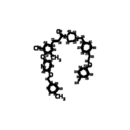 Cc1ccc(COc2ccc(Oc3c(C)cc(C=CC(=O)N4CCN(Cc5ccc(CCOc6ccc(I)cc6)cc5)CC4)cc3Cl)nc2)cc1